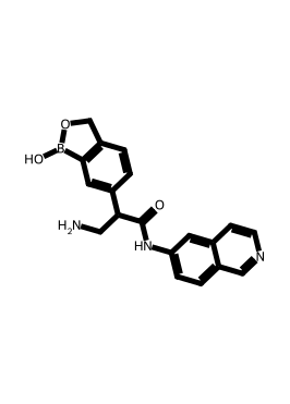 NCC(C(=O)Nc1ccc2cnccc2c1)c1ccc2c(c1)B(O)OC2